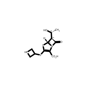 C[C@@H](O)[C@H]1C(=O)N2C(C(=O)O)=C(SC3CPC3)S[C@H]12